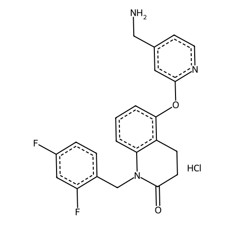 Cl.NCc1ccnc(Oc2cccc3c2CCC(=O)N3Cc2ccc(F)cc2F)c1